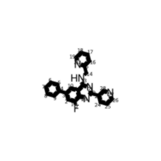 Fc1cc(-c2ccccc2)cc2c(NCc3ccccn3)nc(-c3cccnc3)nc12